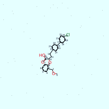 COCc1ccccc1OC(CCc1ccc(-c2ccc(Cl)cc2)cc1)C(=O)O